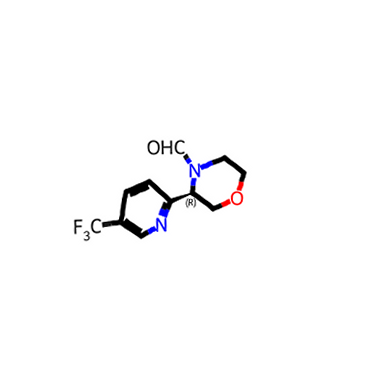 O=CN1CCOC[C@H]1c1ccc(C(F)(F)F)cn1